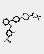 CC(C)(C)OC(=O)N1CCN(c2ccc(-c3cnccc3Oc3ccc([N+](=O)[O-])cc3F)cc2)CC1